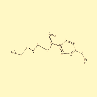 CCCCC(CCCCCO)c1ccc(CC(C)C)cc1